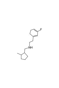 CC1CCCC1CNCCC1=CC(F)=CCC1